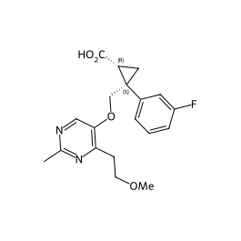 COCCc1nc(C)ncc1OC[C@@]1(c2cccc(F)c2)C[C@H]1C(=O)O